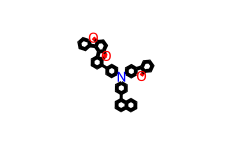 c1ccc2c(-c3ccc(N(c4ccc(-c5cccc6c5oc5ccc7oc8ccccc8c7c56)cc4)c4ccc5c(c4)oc4ccccc45)cc3)cccc2c1